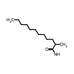 CCCCCCCCCCC(C)C([NH])=O